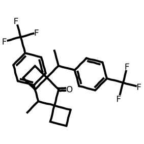 CC(c1ccc(C(F)(F)F)cc1)C1(C(=O)C2(C(C)c3ccc(C(F)(F)F)cc3)CCC2)CCC1